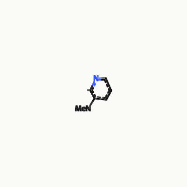 CNc1[c]nccc1